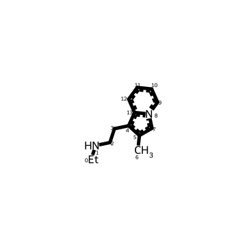 CCNCCc1c(C)cn2ccccc12